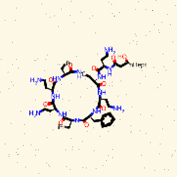 CCCCCCC[C@@H](O)CC(=O)N[C@H](CCN)C(=O)N[C@H]1CCNC(=O)[C@H](CC(C)C)NC(=O)[C@H](CCN)NC(=O)[C@H](CCN)NC(=O)[C@H](CC(C)C)NC(=O)[C@H](Cc2ccccc2)NC(=O)[C@H](CCN)NC1=O